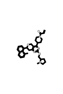 C=CC(=O)N1CCC(c2nc(OCC3CCCN3C)nc3c2COC(c2cccc4cccc(C)c24)C3)CC1